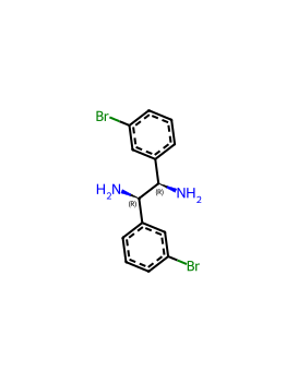 N[C@H](c1cccc(Br)c1)[C@H](N)c1cccc(Br)c1